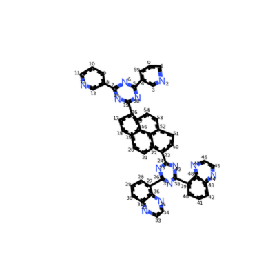 c1cncc(-c2nc(-c3cccnc3)nc(-c3ccc4ccc5c(-c6nc(-c7cccc8nccnc78)nc(-c7cccc8nccnc78)n6)ccc6ccc3c4c65)n2)c1